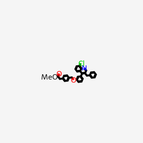 COC(=O)Cc1ccc(COc2cccc(-c3c(Cc4ccccc4)cnc4c(Cl)cccc34)c2)cc1